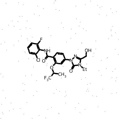 CCn1c(CO)nn(-c2ccc(C(=O)Nc3c(F)cccc3Cl)c(OC(C)C(F)(F)F)c2)c1=O